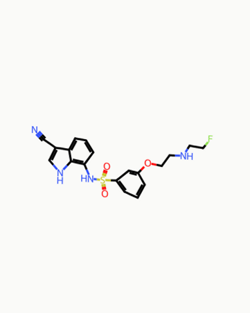 N#Cc1c[nH]c2c(NS(=O)(=O)c3cccc(OCCNCCF)c3)cccc12